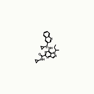 CCC(C)n1ncc2nc(C(=O)NC3CC3)nc(N[C@@H](c3cnc4ccccc4c3)C3CC3)c21